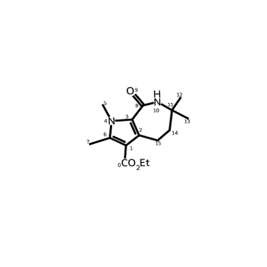 CCOC(=O)c1c2c(n(C)c1C)C(=O)NC(C)(C)CC2